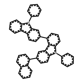 c1ccc(-n2c3ccccc3c3ccc(-c4cccc5c4c4cc(-c6cccc7ccccc67)ccc4n5-c4ccccc4)cc32)cc1